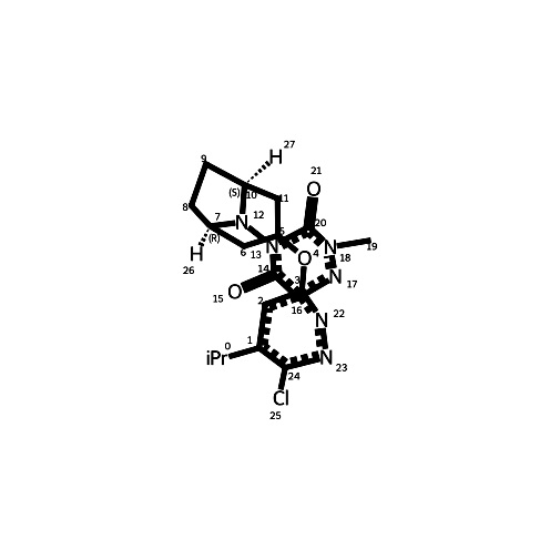 CC(C)c1cc(OC2C[C@H]3CC[C@@H](C2)N3n2c(=O)cnn(C)c2=O)nnc1Cl